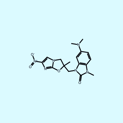 CN(C)c1ccc2c(c1)n(CC1(C)Cn3cc([N+](=O)[O-])nc3O1)c(=O)n2C